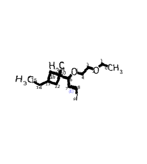 CCOCCOC(/C=C/I)C1(C)CC(CC)C1